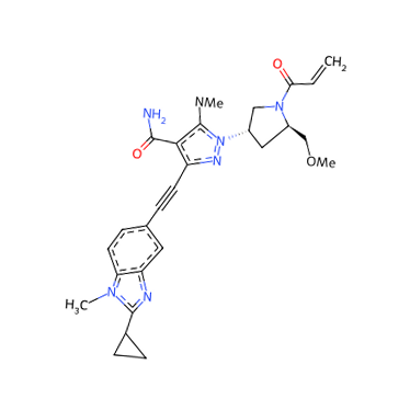 C=CC(=O)N1C[C@@H](n2nc(C#Cc3ccc4c(c3)nc(C3CC3)n4C)c(C(N)=O)c2NC)C[C@@H]1COC